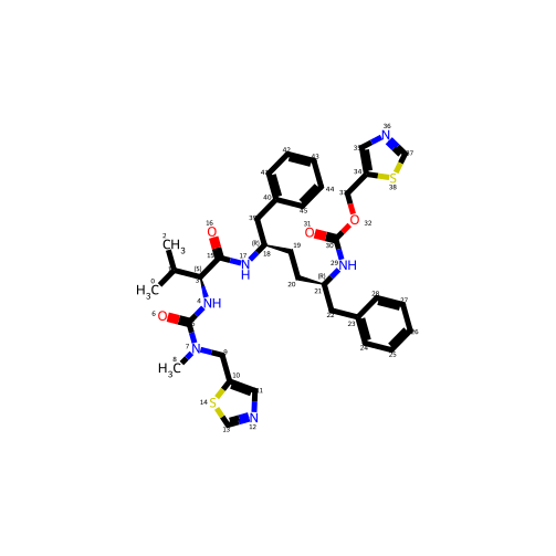 CC(C)[C@H](NC(=O)N(C)Cc1cncs1)C(=O)N[C@H](CC[C@H](Cc1ccccc1)NC(=O)OCc1cncs1)Cc1ccccc1